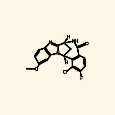 COc1ccc2nc3n(c2c1)[C@@H]1C[C@H]3NC(=O)c2ccc(F)c(Cl)c21